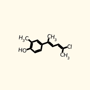 C/C(Cl)=C\C=C(/C)c1ccc(O)c(C)c1